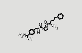 N=C(N)c1ccc(CNC(=O)[C@@H]2CCN2C(=O)[C@H](N)CCCc2ccccc2)cc1